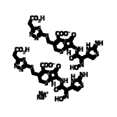 N=c1[nH]c(/C(=N/O)C(=O)NC2C(=O)N3C(C(=O)[O-])=C(CSc4nnc(CC(=O)O)s4)CS[C@H]23)cs1.N=c1[nH]c(/C(=N/O)C(=O)NC2C(=O)N3C(C(=O)[O-])=C(CSc4nnc(CC(=O)O)s4)CS[C@H]23)cs1.[Na+].[Na+]